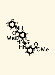 COC(=O)c1cccc(NC(=S)Nc2cccc(C(=O)Nc3ccccc3)c2OC)c1